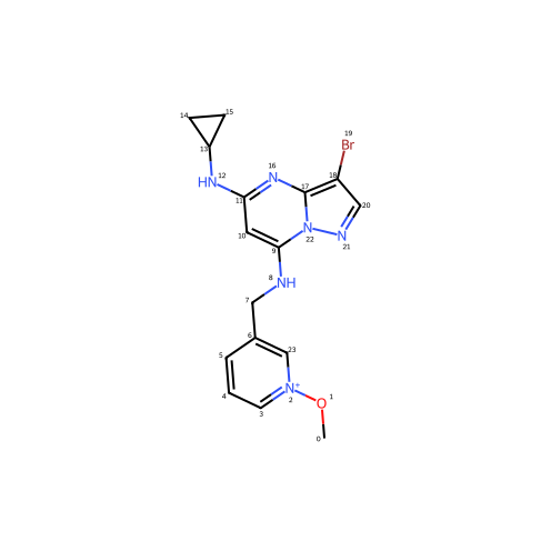 CO[n+]1cccc(CNc2cc(NC3CC3)nc3c(Br)cnn23)c1